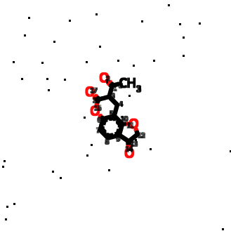 CC(=O)C1Cc2c(ccc3c2OCC3=O)OC1=O